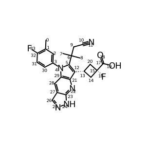 Cc1cc(-n2c(C(C)(C)CC#N)c([C@H]3C[C@](F)(C(=O)O)C3)c3nc4[nH]ncc4cc32)ccc1F